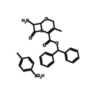 CC1=C(C(=O)OC(c2ccccc2)c2ccccc2)N2C(=O)C(N)C2OC1.Cc1ccc(S(=O)(=O)O)cc1